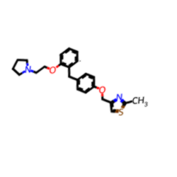 Cc1nc(COc2ccc(Cc3[c]cccc3OCCN3CCCC3)cc2)cs1